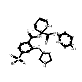 CCS(=O)(=O)c1ccc(C(=O)NC2(C(=O)Nc3ccc(Cl)cn3)C=CC=CN2)c(O[C@H]2CCNC2)c1